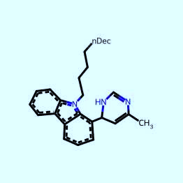 CCCCCCCCCCCCCCn1c2ccccc2c2cccc(C3C=C(C)N=CN3)c21